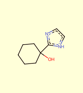 OC1(c2ncc[nH]2)CCCCC1